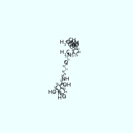 CN(CCOCCCCCCNC[C@H](O)c1ccc(O)c2[nH]c(=O)ccc12)Cc1cccc(S(=O)(=O)NC(C)(C)C)c1